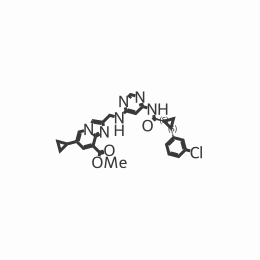 COC(=O)c1cc(C2CC2)cn2cc(CNc3cc(NC(=O)[C@H]4C[C@@H]4c4cccc(Cl)c4)ncn3)nc12